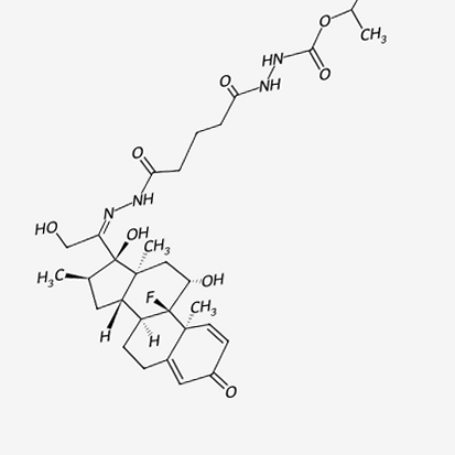 CC(C)OC(=O)NNC(=O)CCCC(=O)N/N=C(/CO)[C@@]1(O)[C@H](C)C[C@H]2[C@@H]3CCC4=CC(=O)C=C[C@]4(C)[C@@]3(F)[C@@H](O)C[C@@]21C